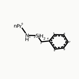 CCCN[SiH2]Cc1ccccc1